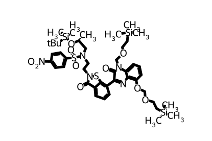 C[C@H](CN(CCn1sc2c(-c3nc4c(OCOCC[Si](C)(C)C)cccc4n(COCC[Si](C)(C)C)c3=O)cccc2c1=O)S(=O)(=O)c1ccc([N+](=O)[O-])cc1)O[Si](C)(C)C(C)(C)C